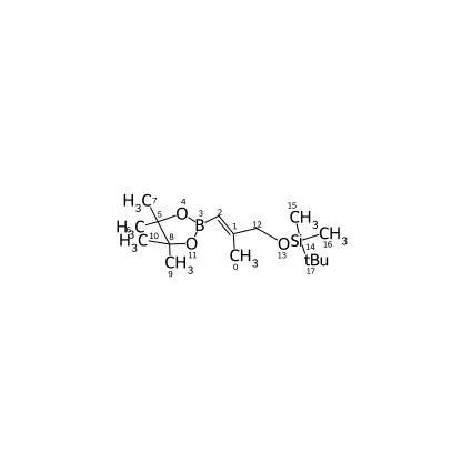 C/C(=C\B1OC(C)(C)C(C)(C)O1)CO[Si](C)(C)C(C)(C)C